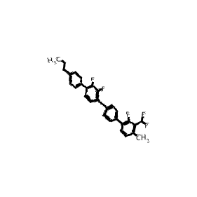 CCCc1ccc(-c2ccc(-c3ccc(-c4ccc(C)c(C(F)F)c4F)cc3)c(F)c2F)cc1